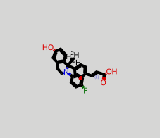 [2H]C([2H])([2H])C1(c2ccc(/C=C/C(=O)O)cc2)c2ccc(O)cc2CCN1c1ccc(F)cc1